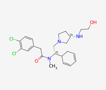 CN(C(=O)Cc1ccc(Cl)c(Cl)c1)[C@H](CN1CC[C@H](NCCO)C1)C1C=CC=CC1